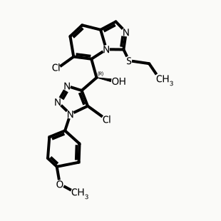 CCSc1ncc2ccc(Cl)c([C@@H](O)c3nnn(-c4ccc(OC)cc4)c3Cl)n12